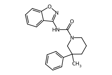 CC1(c2ccccc2)CCCN(C(=O)Nc2noc3ccccc23)C1